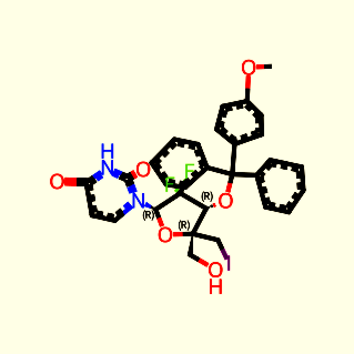 COc1ccc(C(O[C@H]2C(F)(F)[C@H](n3ccc(=O)[nH]c3=O)O[C@@]2(CO)CI)(c2ccccc2)c2ccccc2)cc1